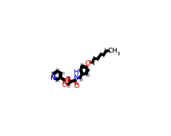 CCCCCCCOc1ccc(CNC(=O)C2COC(c3cccnc3)O2)cc1